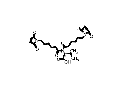 CC(C)[C@@H](C(=O)O)N(C(=O)CCCCCN1C(=O)C=CC1=O)C(=O)CCCCCN1C(=O)C=CC1=O